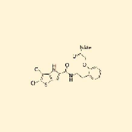 CNC(=O)COc1ccccc1CCNC(=O)c1cc2sc(Cl)c(Cl)c2[nH]1